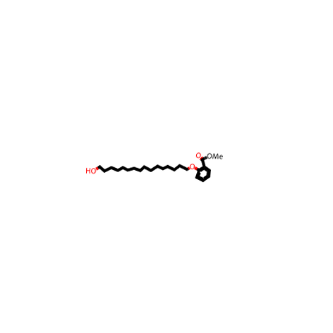 COC(=O)c1ccccc1OCCCCCCCCCCCCCCCCO